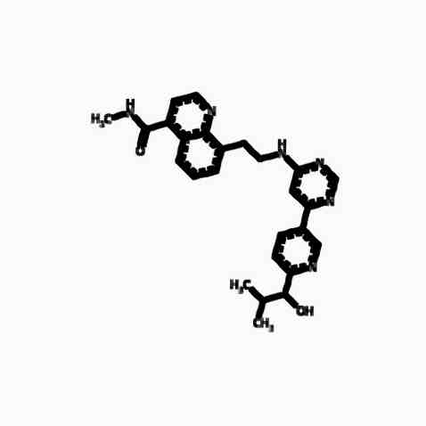 CNC(=O)c1ccnc2c(CCNc3cc(-c4ccc(C(O)C(C)C)nc4)ncn3)cccc12